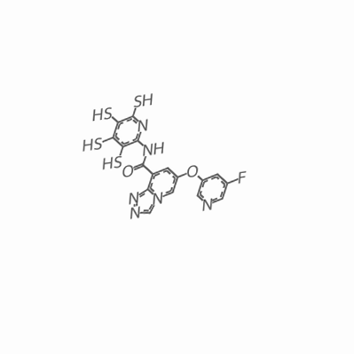 O=C(Nc1nc(S)c(S)c(S)c1S)c1cc(Oc2cncc(F)c2)cn2cnnc12